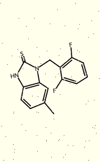 Cc1ccc2[nH]c(=S)n(Cc3c(F)cccc3F)c2c1